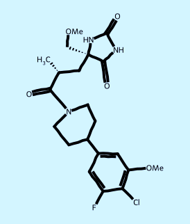 COC[C@]1(C[C@@H](C)C(=O)N2CCC(c3cc(F)c(Cl)c(OC)c3)CC2)NC(=O)NC1=O